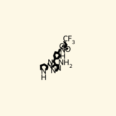 Nc1ncnc2c1c(-c1ccc(CNS(=O)(=O)CCC(F)(F)F)cc1)nn2C1CCCNC1